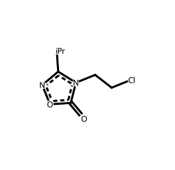 CC(C)c1noc(=O)n1CCCl